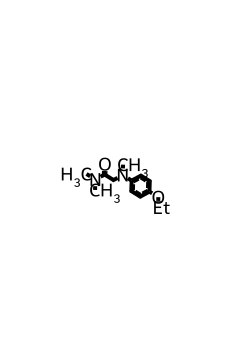 CCOc1ccc(N(C)CC(=O)N(C)C)cc1